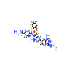 NCC1CCC(C(=O)NC(CSCc2ccccc2)c2nc(-c3ccc4c(N)n[nH]c4c3)c[nH]2)CC1